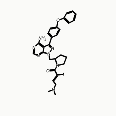 CN(C)CC=C(I)C(=O)N1CCCC1Cn1nc(-c2ccc(Oc3ccccc3)cc2)c2c(N)ncnc21